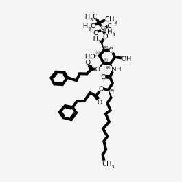 CCCCCCCCCCC[C@H](CC(=O)N[C@H]1C(O)O[C@H](CO[Si](C)(C)C(C)(C)C)[C@@H](O)[C@@H]1OC(=O)CCCc1ccccc1)OC(=O)CCCc1ccccc1